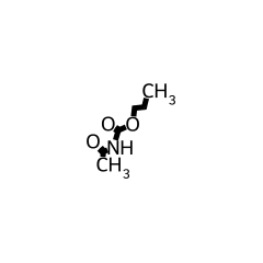 CCCOC(=O)NC(C)=O